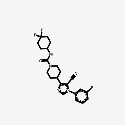 N#Cc1c(C2CCN(C(=O)NC3CCC(F)(F)CC3)CC2)ncn1-c1cccc(F)c1